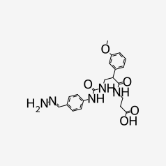 COc1cccc(C(CNC(=O)Nc2ccc(C=NN)cc2)C(=O)NCCC(=O)O)c1